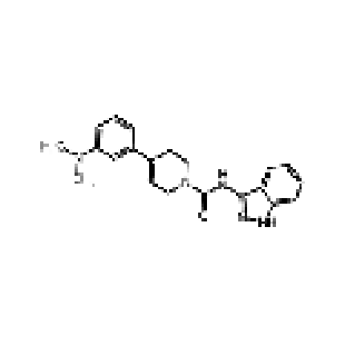 CN(C)c1cccc(C2=CCN(C(=O)Nc3n[nH]c4ccccc34)CC2)c1